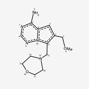 COCc1cc2c(N)ncnn2c1CN1CCOCC1